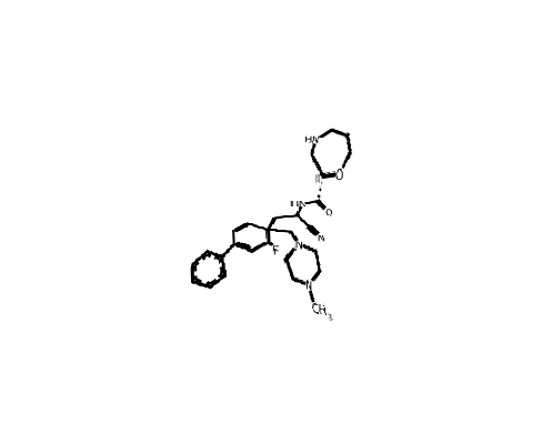 CN1CCN(CC2(CC(C#N)NC(=O)[C@@H]3CNCCCO3)C=CC(c3ccccc3)=CC2F)CC1